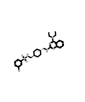 CCN(CC)c1nc(NC[C@H]2CC[C@H](CNS(=O)(=O)c3cccc(Cl)c3)CC2)nc2ccccc12